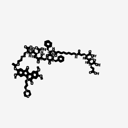 C=C(OCCSSC[C@H](NC(=O)[C@H](CC(=O)O)NC(=O)[C@@H](N)CNC(=O)[C@H](Cc1ccccc1)NC(=O)[C@H](Cc1ccccc1)NC(=O)CCCCCCCNC(=O)CC[C@H](NC(=O)N[C@@H](CCC(=O)O)C(=O)O)C(=O)O)C(=O)O)Oc1cc2c(cc1OC)-c1c(c3cc(OC)c(OC)cc3c(=O)n1CCCN1CCOCC1)C2=O